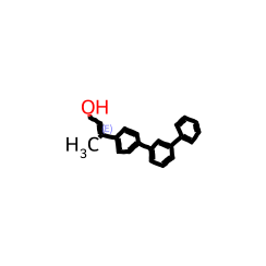 C/C(=C\CO)c1ccc(-c2cccc(-c3ccccc3)c2)cc1